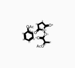 CC(=O)OC(C)C(=O)ON1C(=O)CCC1=O.CC(=O)Oc1ccccc1